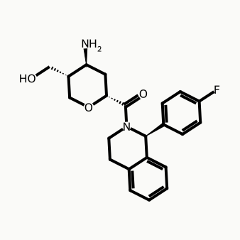 N[C@H]1C[C@H](C(=O)N2CCc3ccccc3[C@@H]2c2ccc(F)cc2)OC[C@@H]1CO